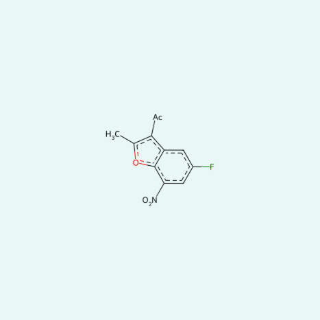 CC(=O)c1c(C)oc2c([N+](=O)[O-])cc(F)cc12